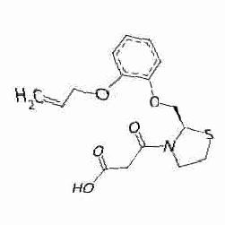 C=CCOc1ccccc1OC[C@H]1SCCN1C(=O)CC(=O)O